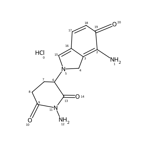 Cl.NC1=C2CN(C3CCC(=O)N(N)C3=O)C=C2C=CC1=O